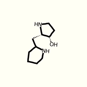 O[C@H]1CCN[C@H]1CC1CCCCN1